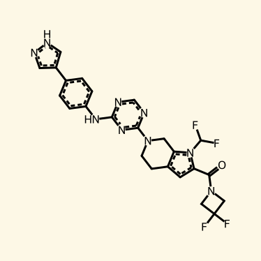 O=C(c1cc2c(n1C(F)F)CN(c1ncnc(Nc3ccc(-c4cn[nH]c4)cc3)n1)CC2)N1CC(F)(F)C1